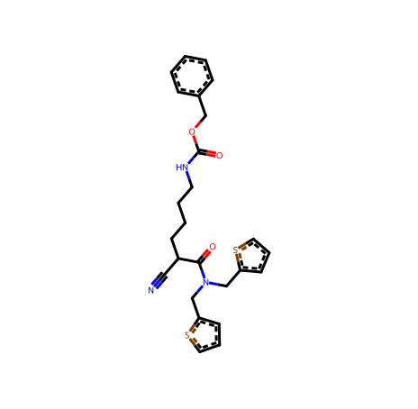 N#CC(CCCCNC(=O)OCc1ccccc1)C(=O)N(Cc1cccs1)Cc1cccs1